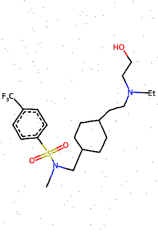 CCN(CCO)CCC1CCC(CN(C)S(=O)(=O)c2ccc(C(F)(F)F)cc2)CC1